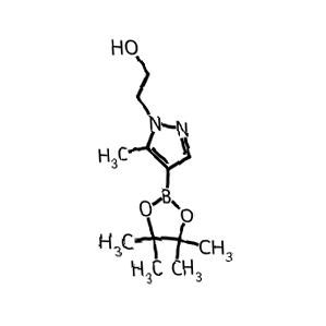 Cc1c(B2OC(C)(C)C(C)(C)O2)cnn1CCO